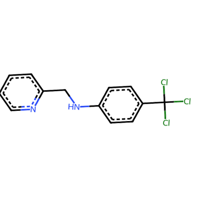 ClC(Cl)(Cl)c1ccc(NCc2ccccn2)cc1